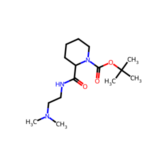 CN(C)CCNC(=O)C1CCCCN1C(=O)OC(C)(C)C